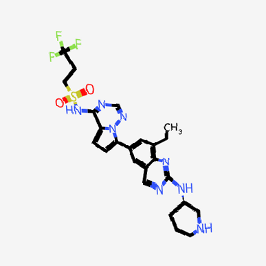 CCc1cc(-c2ccc3c(NS(=O)(=O)CCC(F)(F)F)ncnn23)cc2cnc(N[C@H]3CCCNC3)nc12